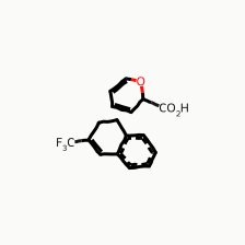 FC(F)(F)C1=Cc2ccccc2CC1.O=C(O)C1C=CC=CO1